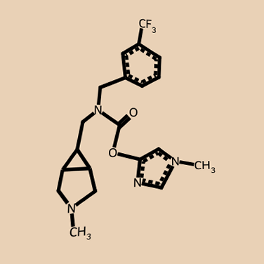 CN1CC2C(C1)C2CN(Cc1cccc(C(F)(F)F)c1)C(=O)Oc1cn(C)cn1